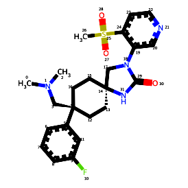 CN(C)C[C@]1(c2cccc(F)c2)CC[C@]2(CC1)CN(c1cnccc1S(C)(=O)=O)C(=O)N2